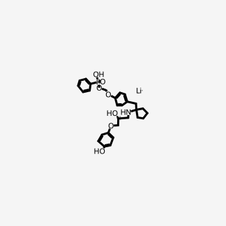 O=P(O)(OCOc1ccc(CC2(NC[C@H](O)COc3ccc(O)cc3)CCCC2)cc1)c1ccccc1.[Li]